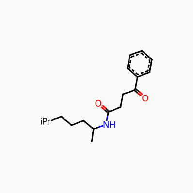 CC(C)CCCC(C)NC(=O)CCC(=O)c1ccccc1